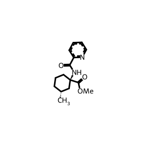 COC(=O)[C@@]1(NC(=O)c2ccccn2)CCC[C@@H](C)C1